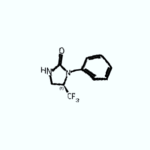 O=C1NC[C@H](C(F)(F)F)N1c1ccccc1